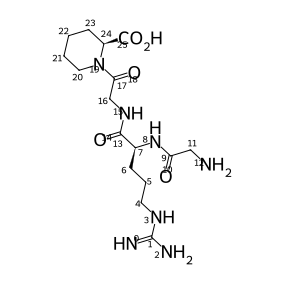 N=C(N)NCCC[C@H](NC(=O)CN)C(=O)NCC(=O)N1CCCC[C@H]1C(=O)O